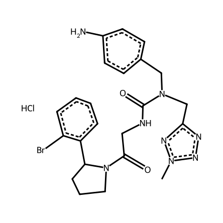 Cl.Cn1nnc(CN(Cc2ccc(N)cc2)C(=O)NCC(=O)N2CCCC2c2ccccc2Br)n1